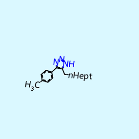 CCCCCCCCc1[nH]nnc1-c1ccc(C)cc1